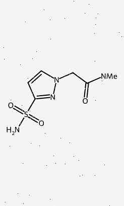 CNC(=O)Cn1ccc(S(N)(=O)=O)n1